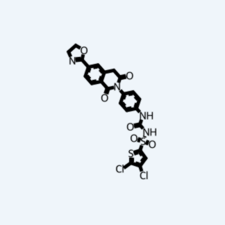 O=C(Nc1ccc(N2C(=O)Cc3cc(C4=NCCO4)ccc3C2=O)cc1)NS(=O)(=O)c1cc(Cl)c(Cl)s1